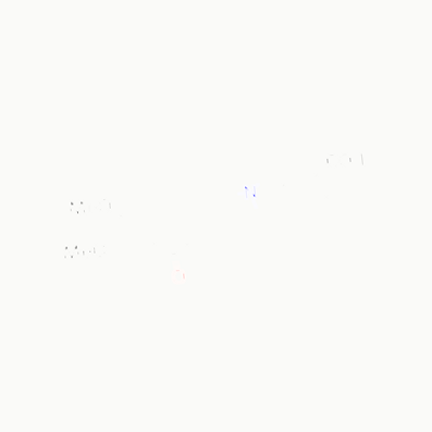 COc1cc2c(cc1OC)C(=O)C(CC1CCN(Cc3cccc(C(=O)O)c3)CC1)C2